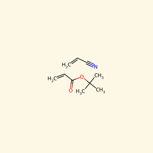 C=CC#N.C=CC(=O)OC(C)(C)C